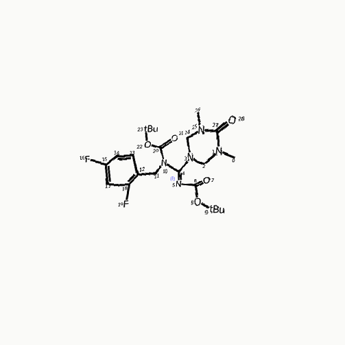 CN1CN(/C(=N\C(=O)OC(C)(C)C)N(Cc2ccc(F)cc2F)C(=O)OC(C)(C)C)CN(C)C1=O